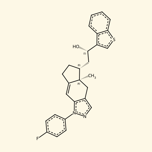 C[C@]12Cc3cnn(-c4ccc(F)cc4)c3C=C1CC[C@@H]2C[C@H](O)c1csc2ccccc12